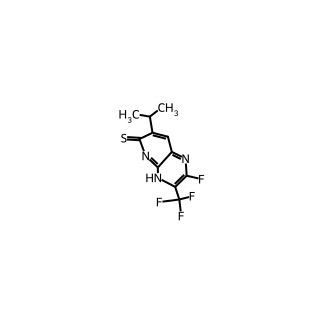 CC(C)c1cc2nc(F)c(C(F)(F)F)[nH]c-2nc1=S